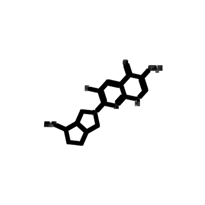 CNC1CCC2CN(c3nc4[nH]cc(C(=O)O)c(=O)c4cc3F)CC21